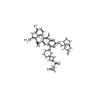 N#Cc1c(N)sc2c(F)ccc(-c3c(Cl)cc4c(N5CCCC6(CN(C(=O)[C@H]7CN7)C6)C5)nc(OC[C@@]56CCCN5C[C@H](F)C6)nc4c3F)c12